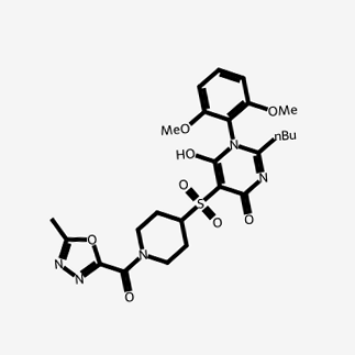 CCCCc1nc(=O)c(S(=O)(=O)C2CCN(C(=O)c3nnc(C)o3)CC2)c(O)n1-c1c(OC)cccc1OC